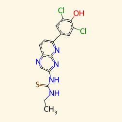 CCNC(=S)Nc1cnc2ccc(-c3cc(Cl)c(O)c(Cl)c3)nc2n1